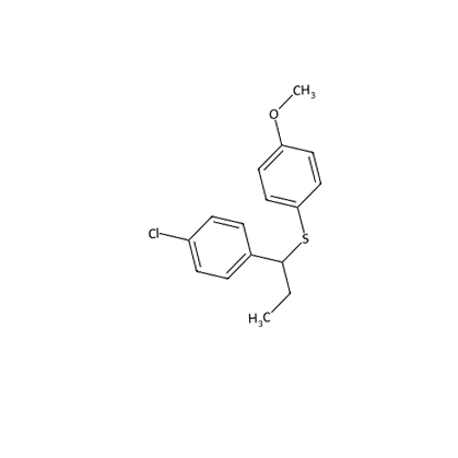 CCC(Sc1ccc(OC)cc1)c1ccc(Cl)cc1